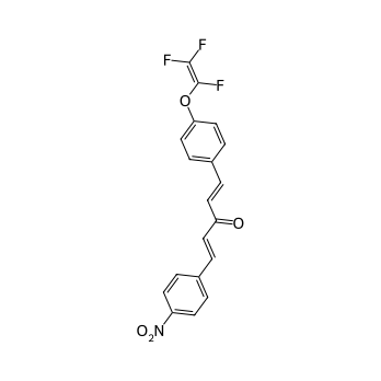 O=C(/C=C/c1ccc(OC(F)=C(F)F)cc1)/C=C/c1ccc([N+](=O)[O-])cc1